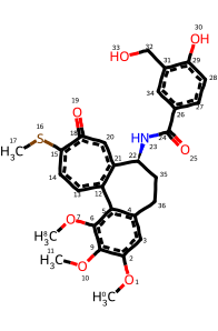 COc1cc2c(c(OC)c1OC)-c1ccc(SC)c(=O)cc1[C@@H](NC(=O)c1ccc(O)c(CO)c1)CC2